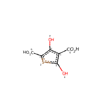 O=C(O)c1sc(O)c(C(=O)O)c1O